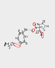 COc1ccc(COC(=O)C2(C=O)CCCC2)cc1